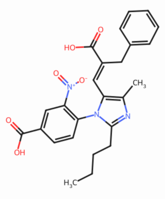 CCCCc1nc(C)c(/C=C(\Cc2ccccc2)C(=O)O)n1-c1ccc(C(=O)O)cc1[N+](=O)[O-]